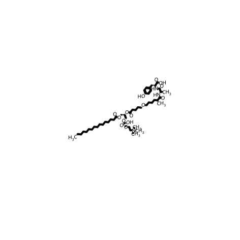 CCCCCCCCCCCCCCCC(=O)OC[C@H](COP(=O)(O)OCC[N+](C)(C)C)OC(=O)CCCCOCCCC[C@H](C)C(=O)NC(C)C(=O)N[C@@H](Cc1ccc(O)cc1)C(=O)O